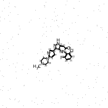 CN1CCN(c2ccc(-c3n[nH]c4cc(=O)n(-c5c(F)cccc5Cl)nc34)cn2)CC1